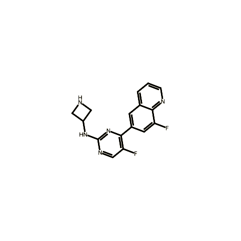 Fc1cnc(NC2CNC2)nc1-c1cc(F)c2ncccc2c1